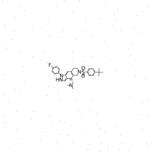 CN(C)C[C@@H]1C2=CNN(c3ccc(F)cc3)C2=CC2=C1CN(S(=O)(=O)c1ccc(C(C)(C)C)cc1)CC2